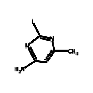 Cc1cc(N)nc(I)n1